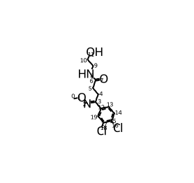 CON=C(CCC(=O)NCCO)c1ccc(Cl)c(Cl)c1